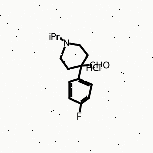 CC(C)N1CCC(C=O)(c2ccc(F)cc2)CC1.Cl